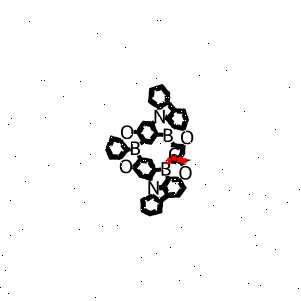 c1ccc2c(c1)Oc1ccc3c4ccccc4n4c3c1B2c1cc2c(cc1-4)Oc1cccc3c1B2c1cc2c(cc1O3)-n1c3ccccc3c3ccc4c(c31)B2c1ccccc1O4